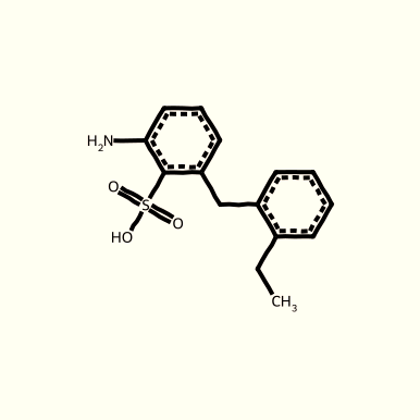 CCc1ccccc1Cc1cccc(N)c1S(=O)(=O)O